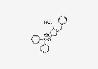 CC(C)(C)[Si](OC1CC(CO)N(Cc2ccccc2)C1)(c1ccccc1)c1ccccc1